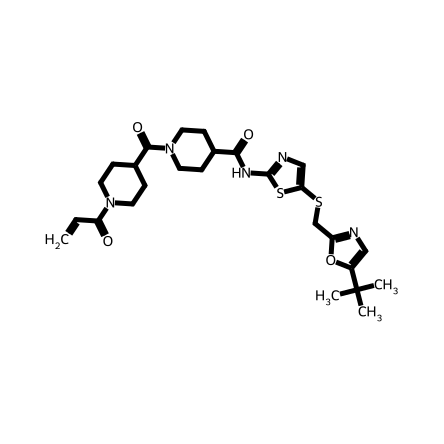 C=CC(=O)N1CCC(C(=O)N2CCC(C(=O)Nc3ncc(SCc4ncc(C(C)(C)C)o4)s3)CC2)CC1